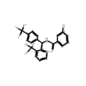 O=C(NC(c1ccc(C(F)(F)F)cc1)c1ncccc1C(F)(F)F)c1cccc(Cl)c1